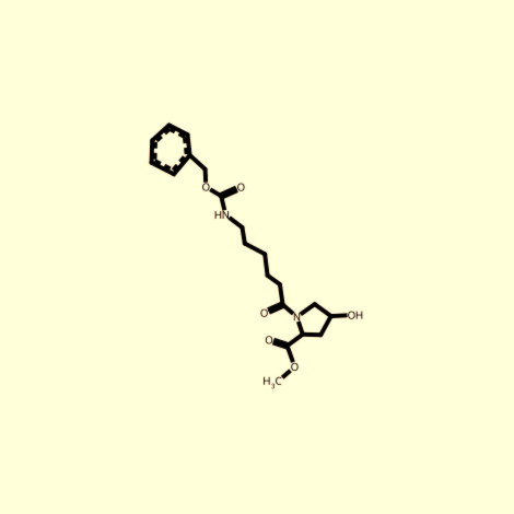 COC(=O)C1CC(O)CN1C(=O)CCCCCNC(=O)OCc1ccccc1